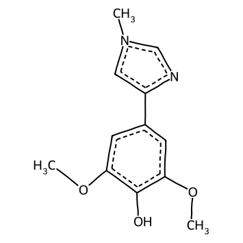 COc1cc(-c2cn(C)cn2)cc(OC)c1O